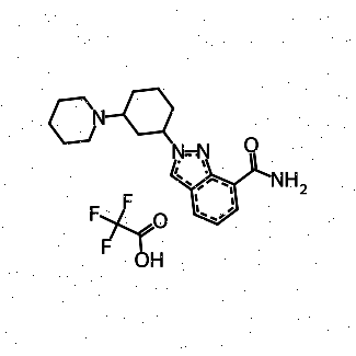 NC(=O)c1cccc2cn(C3CCCC(N4CCCCC4)C3)nc12.O=C(O)C(F)(F)F